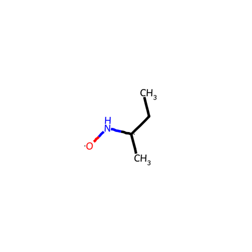 CC[C](C)N[O]